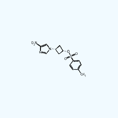 Cc1ccc(S(=O)(=O)O[C@H]2C[C@@H](n3cnc([N+](=O)[O-])c3)C2)cc1